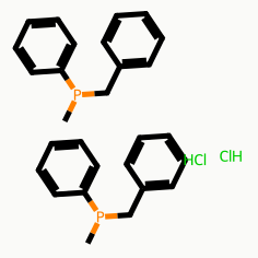 CP(Cc1ccccc1)c1ccccc1.CP(Cc1ccccc1)c1ccccc1.Cl.Cl